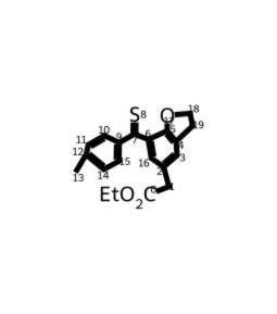 CCOC(=O)Cc1cc2c(c(C(=S)c3ccc(C)cc3)c1)OCC2